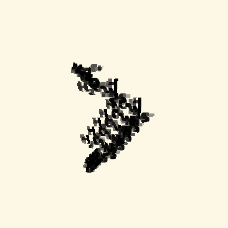 C=CCNC(=S)[S-].C=CCNC(=S)[S-].C=CCNC(=S)[S-].C=CCNC(=S)[S-].C=CCNC(=S)[S-].C=CCNC(=S)[S-].O=S.O=S.O=S.O=S.O=S.O=S.[Mo+6]